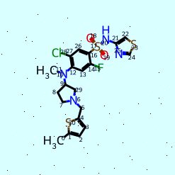 Cc1ccc(CN2CCC(N(C)c3cc(F)c(S(=O)(=O)Nc4cscn4)cc3Cl)C2)s1